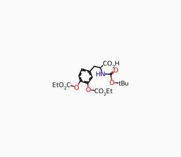 CCOC(=O)Oc1ccc(C[C@H](NC(=O)OC(C)(C)C)C(=O)O)cc1OC(=O)OCC